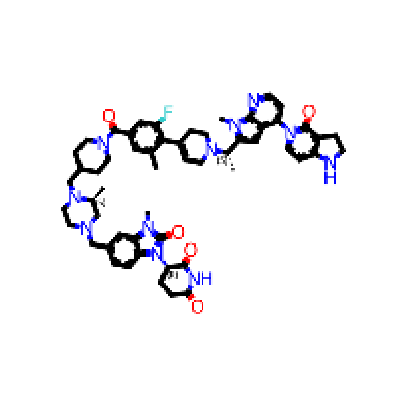 Cc1cc(C(=O)N2CCC(CN3CCN(Cc4ccc5c(c4)n(C)c(=O)n5[C@@H]4CCC(=O)NC4=O)C[C@@H]3C)CC2)cc(F)c1C1=CCN([C@@H](C)c2cc3c(-n4ccc5c(c4=O)CCN5)ccnc3n2C)CC1